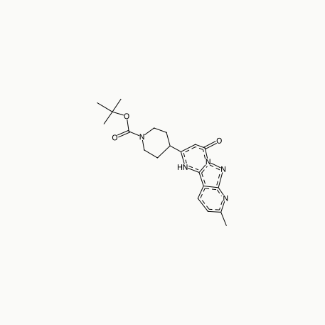 Cc1ccc2c(n1)nn1c(=O)cc(C3CCN(C(=O)OC(C)(C)C)CC3)[nH]c21